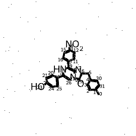 Cc1ccc(Cc2nc3c(-c4ccc([N+](=O)[O-])cc4)[nH]c(-c4ccc(O)cc4)cn-3c2=O)cc1